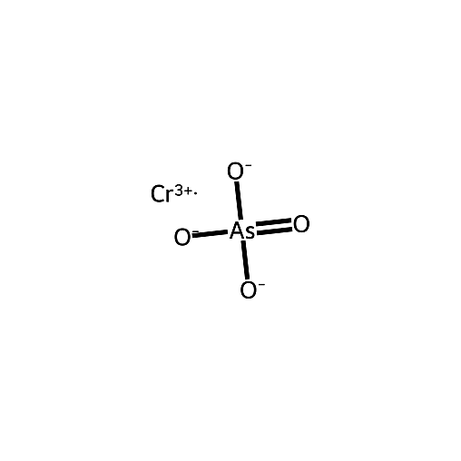 O=[As]([O-])([O-])[O-].[Cr+3]